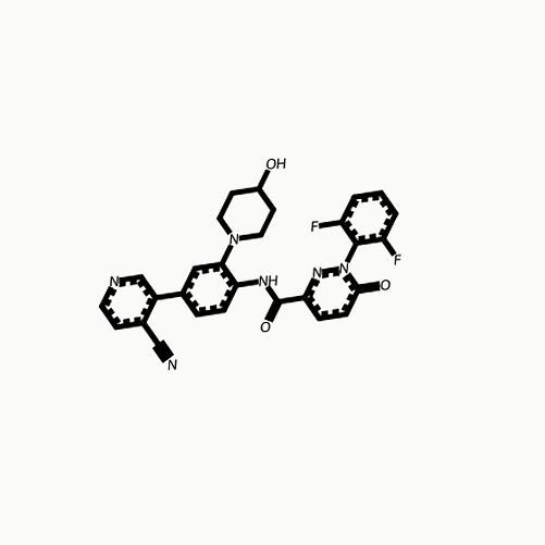 N#Cc1ccncc1-c1ccc(NC(=O)c2ccc(=O)n(-c3c(F)cccc3F)n2)c(N2CCC(O)CC2)c1